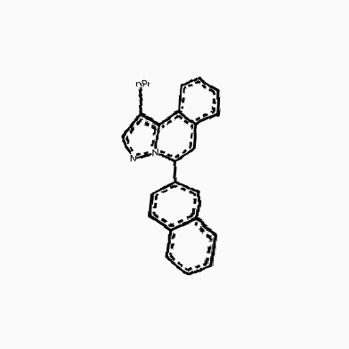 CCCc1cnn2c(-c3ccc4ccccc4c3)cc3ccccc3c12